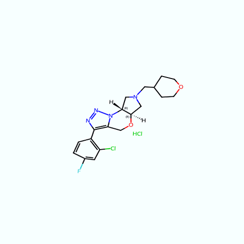 Cl.Fc1ccc(-c2nnn3c2CO[C@@H]2CN(CC4CCOCC4)C[C@H]23)c(Cl)c1